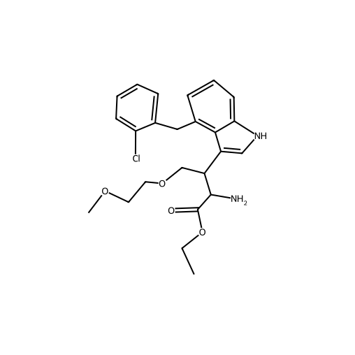 CCOC(=O)C(N)C(COCCOC)c1c[nH]c2cccc(Cc3ccccc3Cl)c12